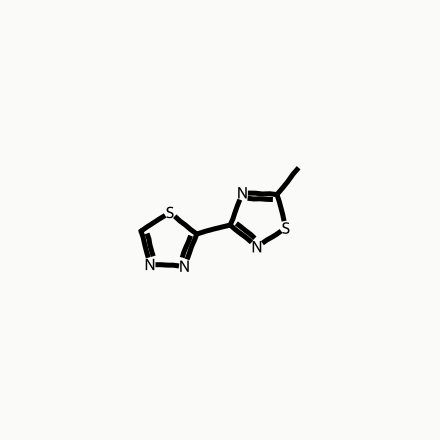 Cc1nc(-c2nncs2)ns1